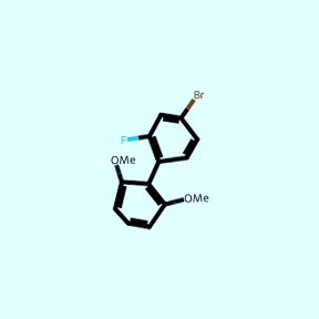 COc1cccc(OC)c1-c1ccc(Br)cc1F